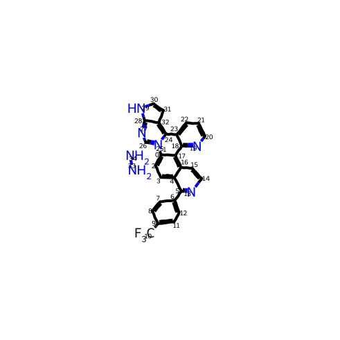 Cc1ccc2c(-c3ccc(C(F)(F)F)cc3)nccc2c1-c1ncccc1-c1ncnc2[nH]ccc12.NN